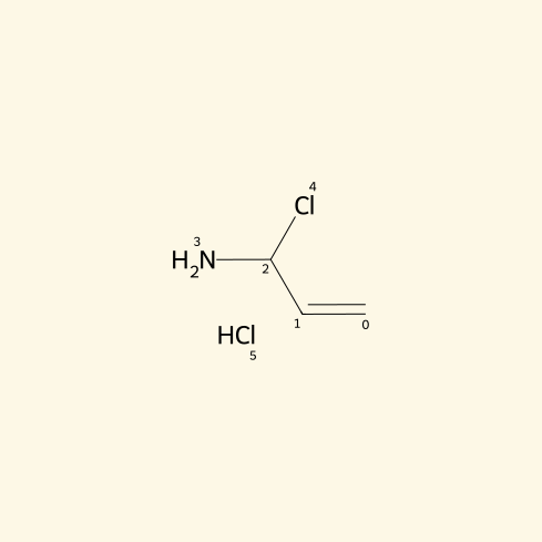 C=CC(N)Cl.Cl